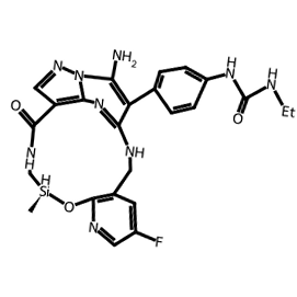 CCNC(=O)Nc1ccc(-c2c3nc4c(cnn4c2N)C(=O)NC[Si@H](C)Oc2ncc(F)cc2CN3)cc1